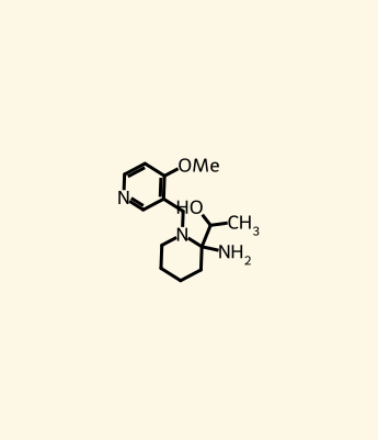 COc1ccncc1CN1CCCCC1(N)C(C)O